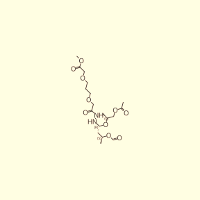 COC(=O)COCCCOCC(=O)NN[C@@H](C[C@H](C)OC=O)O[C@@H](C)COC(C)=O